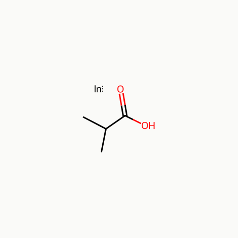 CC(C)C(=O)O.[In]